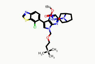 CC(C)(C)OC(=O)NC1CC2CCC(C1)N2c1cnc2c(-c3ccc4ncsc4c3Cl)cn(COCC[Si](C)(C)C)c2n1